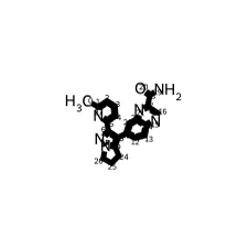 Cc1cccc(-c2nn3c(c2-c2ccc4ncc(C(N)=O)nc4c2)CCC3)n1